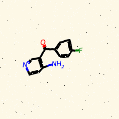 Nc1ccncc1C(=O)c1ccc(F)cc1